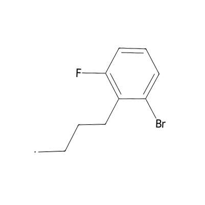 [CH2]CCCc1c(F)cccc1Br